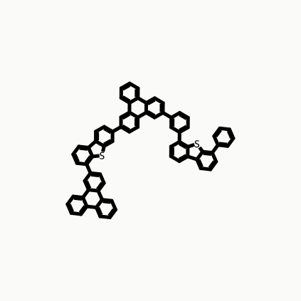 c1ccc(-c2cccc3c2sc2c(-c4cccc(-c5ccc6c7ccccc7c7cc(-c8ccc9c(c8)sc8c(-c%10ccc%11c%12ccccc%12c%12ccccc%12c%11c%10)cccc89)ccc7c6c5)c4)cccc23)cc1